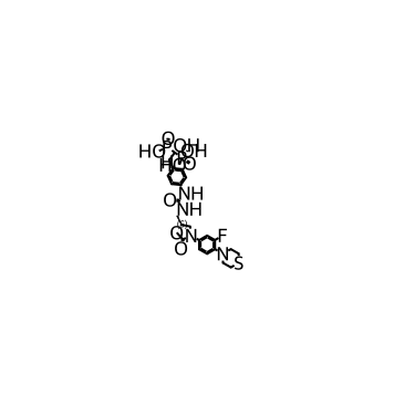 O=C(NC[C@H]1CN(c2ccc(N3CCSCC3)c(F)c2)C(=O)O1)Nc1ccc(CC(O)([PH](=O)O)P(=O)(O)O)cc1